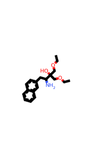 CCOCC(O)(COCC)C(N)Cc1ccc2ccccc2c1